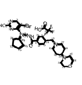 N#Cc1ncc(Br)c(N(NC(=O)c2ccc(CN3CCC(N4CCOCC4)CC3)cc2)C2CCCC2)n1.O=C(O)C(F)(F)F